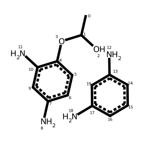 CC(O)Oc1ccc(N)cc1N.Nc1cccc(N)c1